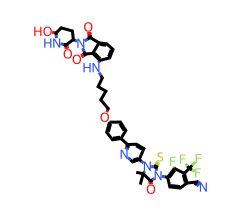 CC1(C)C(=O)N(c2ccc(C#N)c(C(F)(F)F)c2F)C(=S)N1c1ccc(-c2ccc(OCCCCCNc3cccc4c3C(=O)N(C3CCC(O)NC3=O)C4=O)cc2)nc1